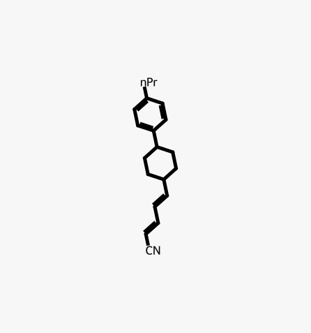 CCCc1ccc(C2CCC(C=CC=CC#N)CC2)cc1